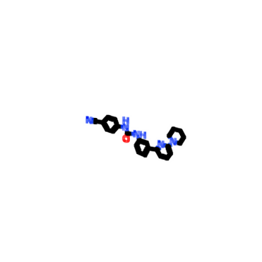 N#Cc1ccc(NC(=O)Nc2cccc(-c3cccc(N4CCCCC4)n3)c2)cc1